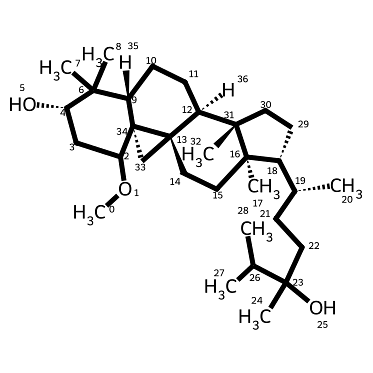 COC1C[C@H](O)C(C)(C)[C@@H]2CC[C@@H]3[C@]4(CC[C@]5(C)[C@@H]([C@H](C)CCC(C)(O)C(C)C)CC[C@@]35C)C[C@]124